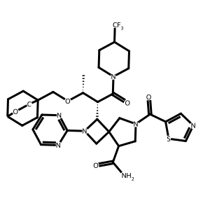 C[C@@H](OCC12CCC(CC1)OC2)[C@H](C(=O)N1CCC(C(F)(F)F)CC1)C1N(c2ncccn2)CC12CN(C(=O)c1cncs1)CC2C(N)=O